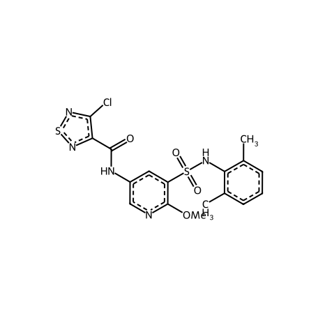 COc1ncc(NC(=O)c2nsnc2Cl)cc1S(=O)(=O)Nc1c(C)cccc1C